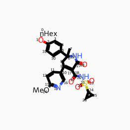 CCCCCCOc1ccc(C2(C)CC(c3ccc(OC)nc3)=C(C(=O)NS(=O)(=O)C3CC3)C(=O)N2)cc1